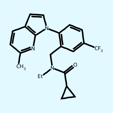 CCN(Cc1cc(C(F)(F)F)ccc1-n1ccc2ccc(C)nc21)C(=O)C1CC1